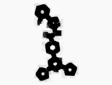 O=C(Nc1nc(-c2ccccc2F)cs1)N1CCN(c2cc(N3CCCC3)nc(N3CCCC3)n2)CC1